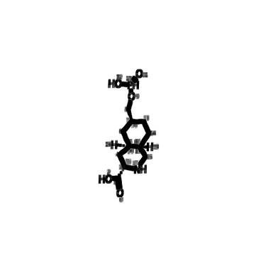 O=C(O)[C@@H]1C[C@H]2C[C@@H](CO[PH](=O)O)CC[C@H]2CN1